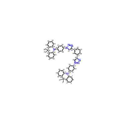 CC1(C)c2ccccc2N(c2ccc(-n3cc(-c4cccc(-c5cn(-c6ccc(N7c8ccccc8C(C)(C)c8ccccc87)cc6)nn5)c4)nn3)cc2)c2ccccc21